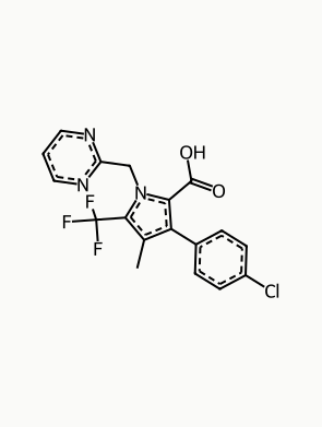 Cc1c(-c2ccc(Cl)cc2)c(C(=O)O)n(Cc2ncccn2)c1C(F)(F)F